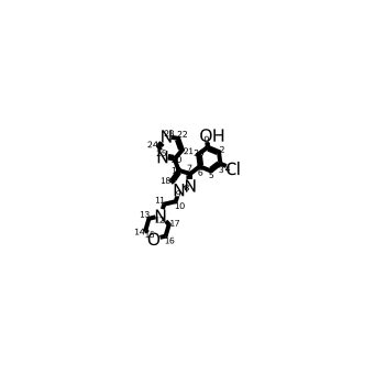 Oc1cc(Cl)cc(-c2nn(CCN3CCOCC3)cc2-c2ccncn2)c1